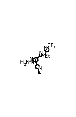 CCC(c1ccc(C(F)(F)F)nc1)n1cc(-c2cc(-c3ccc(C4CC4)nc3)n3nc(N)nc3c2)cn1